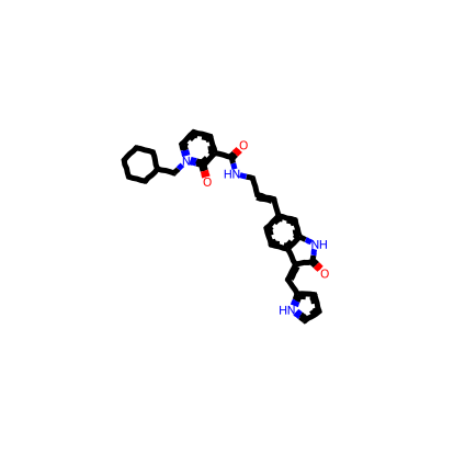 O=C1Nc2cc(/C=C/CNC(=O)c3cccn(CC4CCCCC4)c3=O)ccc2/C1=C/c1ccc[nH]1